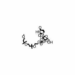 COCCC(C)(C)OCCC(C)(C)OCCOP1(=O)O[C@@H]2[C@H](O1)[C@H](n1ccc(=O)[nH]c1=O)O[C@@H]2CO